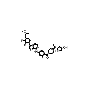 Cc1cc(Nc2nccn3c(-c4ccc(O[C@@H](C)C#N)c(F)c4F)cnc23)ccc1C(=O)N1CCN(C(=O)[C@@H]2C[C@@H](O)CN2)CC1